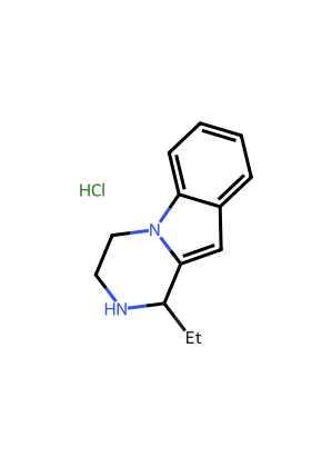 CCC1NCCn2c1cc1ccccc12.Cl